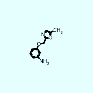 Cc1cnc(COc2cccc(N)c2)o1